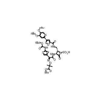 CCCCOc1cnc(-c2cc(C(=O)NC[C@@H]3[C@H](NC(=O)/C(=N\OC(C)(C)C(=O)OC(C)(C)C)c4csc(NC(=O)OC(C)(C)C)n4)C(=O)N3S(=O)(=O)O)on2)cc1OCCCC